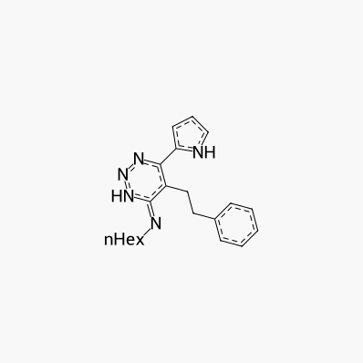 CCCCCCN=c1[nH]nnc(-c2ccc[nH]2)c1CCc1ccccc1